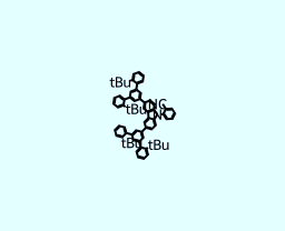 CC(C)(C)c1ccccc1-c1cc(-c2ccc3c(c2)c2cc(-c4cc(-c5ccccc5C(C)(C)C)cc(-c5ccccc5C(C)(C)C)c4)ccc2n3-c2ccccc2C#N)cc(-c2ccccc2C(C)(C)C)c1